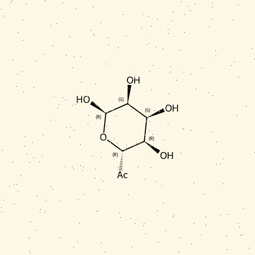 CC(=O)[C@@H]1O[C@@H](O)[C@@H](O)[C@@H](O)[C@H]1O